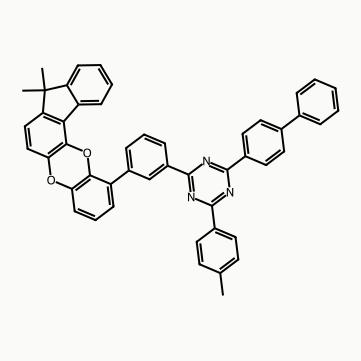 Cc1ccc(-c2nc(-c3ccc(-c4ccccc4)cc3)nc(-c3cccc(-c4cccc5c4Oc4c(ccc6c4-c4ccccc4C6(C)C)O5)c3)n2)cc1